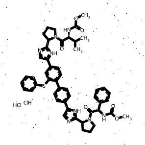 COC(=O)NC(C(=O)N1CCCC1c1ncc(-c2ccc(-c3ccc(-c4cnc(C5CCCN5C(=O)[C@@H](NC(=O)OC)C(C)C)[nH]4)cc3Sc3ccccc3)cc2)[nH]1)c1ccccc1.Cl.Cl